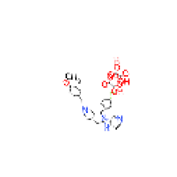 COc1ccc(CCN2CCC(Cc3nc4ccncc4n3Cc3ccc(F)cc3)CC2)cc1.O=C(O)C(=O)O.O=C(O)C(=O)O